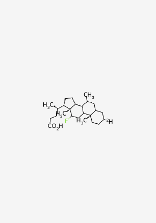 [2H]C1CC[C@@]2(C)C(C1)CC(C)C1C2CC(F)[C@@]2(C)C1CC[C@@H]2[C@H](C)CCC(=O)O